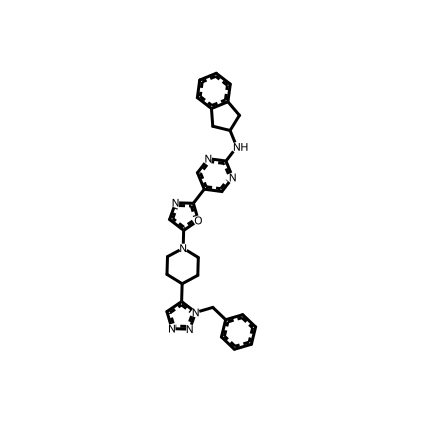 c1ccc(Cn2nncc2C2CCN(c3cnc(-c4cnc(NC5Cc6ccccc6C5)nc4)o3)CC2)cc1